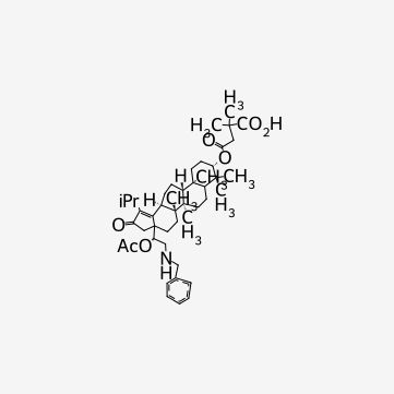 CC(=O)O[C@H](CNCc1ccccc1)C12CC[C@]3(C)[C@H](CC[C@@H]4[C@@]5(C)CC[C@H](OC(=O)CC(C)(C)C(=O)O)C(C)(C)C5CC[C@]43C)C1=C(C(C)C)C(=O)C2